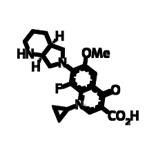 COc1cc2c(=O)c(C(=O)O)cn(C3CC3)c2c(F)c1N1C[C@@H]2CCCN[C@@H]2C1